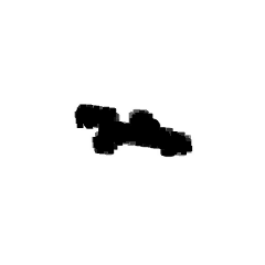 c1ccc(-c2nc(-c3ccc(-c4ccc(-c5ccc6c(c5)sc5ccccc56)c5oc6ccccc6c45)cc3)cc(-c3cccc(-c4cccnc4)c3)n2)cc1